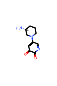 N[C@@H]1CCCN(C2=CC(=O)C(=O)N=C2)C1